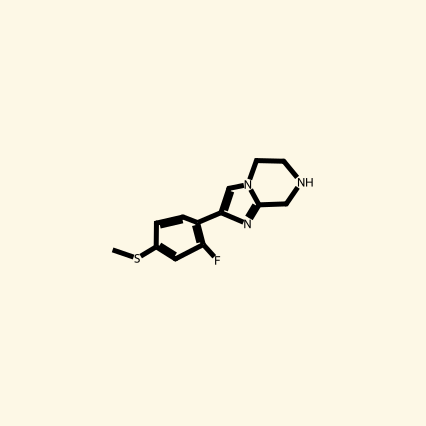 CSc1ccc(-c2cn3c(n2)CNCC3)c(F)c1